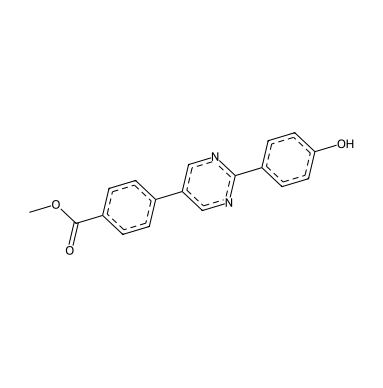 COC(=O)c1ccc(-c2cnc(-c3ccc(O)cc3)nc2)cc1